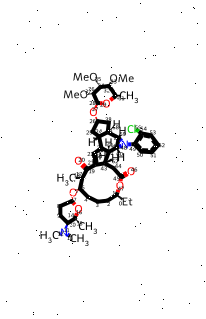 CC[C@H]1CCC[C@H](O[C@H]2CC[C@H](N(C)C)[C@@H](C)O2)[C@@H](C)C(=O)C2=C[C@H]3[C@@H]4C[C@H](O[C@@H]5O[C@@H](C)[C@H](OC)[C@@H](OC)[C@H]5OC)C[C@H]4[C@H]4[C@@H]([C@H]3[C@@H]2CC(=O)O1)N4c1ccccc1Cl